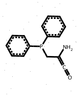 NC(=C=O)CP(c1ccccc1)c1ccccc1